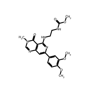 COC(=O)NCCNc1nc(-c2ccc(OC)c(OC)c2)cc2ncn(C)c(=O)c12